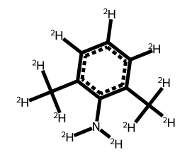 [2H]c1c([2H])c(C([2H])([2H])[2H])c(N([2H])[2H])c(C([2H])([2H])[2H])c1[2H]